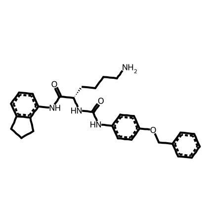 NCCCC[C@H](NC(=O)Nc1ccc(OCc2ccccc2)cc1)C(=O)Nc1cccc2c1CCC2